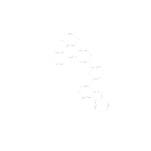 Cc1cnc(-c2cccc3c2oc2ccccc23)cc1-c1ccc2c3ccccc3c3ccccc3c2c1